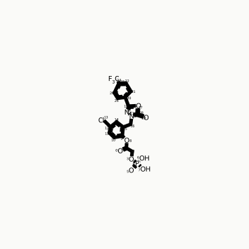 O=C(COP(=O)(O)O)Oc1ccc(Cl)cc1Cn1nc(-c2ccc(C(F)(F)F)cc2)oc1=O